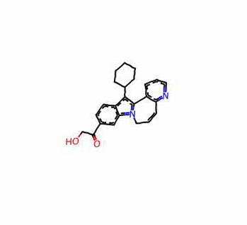 O=C(CO)c1ccc2c(C3CCCCC3)c3n(c2c1)CC=Cc1ncccc1-3